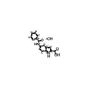 Cl.O=C(Nc1ccc2[nH]c(C(=O)O)cc2c1)c1ccccn1